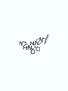 O=c1[nH]c(-c2ccncc2)nc(N2CCN(CC(F)F)CC2)c1Cl